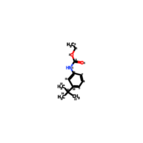 CCOC(=O)Nc1cccc(C(C)(C)C)c1